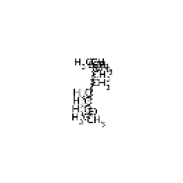 COC1(C)C(/C=C/C(C)=C/C=C/C(C)=C/C=C/C=C(C)/C=C/C=C(C)/C=C/C=C(\C)C(=O)CCC(C)C)=CC=C(C)C1C